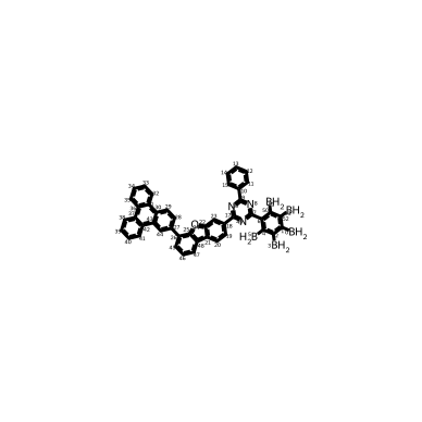 Bc1c(B)c(B)c(-c2nc(-c3ccccc3)nc(-c3ccc4c(c3)oc3c(-c5ccc6c7ccccc7c7ccccc7c6c5)cccc34)n2)c(B)c1B